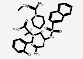 CC(=O)O.COC(=O)C(C)([C@H]1CCCN(C(=N)N)C1)N(Cc1ccccc1Cl)C(=O)[C@H](CC(N)=O)NS(=O)(=O)c1ccc2ccccc2c1